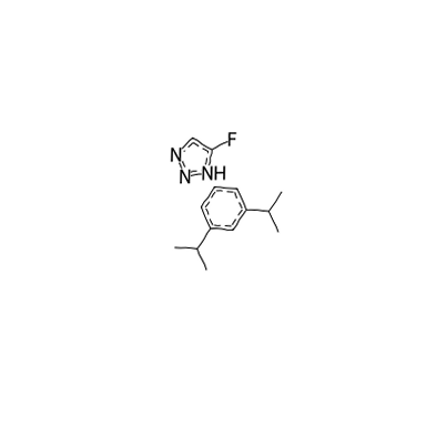 CC(C)c1cccc(C(C)C)c1.Fc1cnn[nH]1